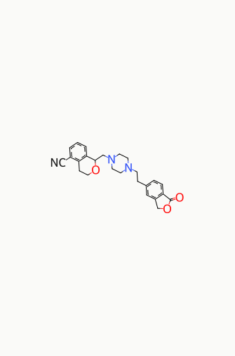 N#Cc1cccc2c1CCOC2CN1CCN(CCc2ccc3c(c2)COC3=O)CC1